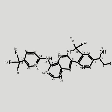 OCC(O)c1cnc(-c2cnc3c(Nc4ccc(C(F)(F)F)cn4)ncnc3c2)c(C(F)(F)F)c1